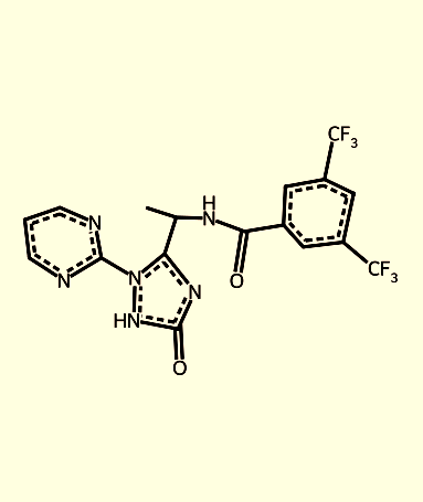 CC(NC(=O)c1cc(C(F)(F)F)cc(C(F)(F)F)c1)c1nc(=O)[nH]n1-c1ncccn1